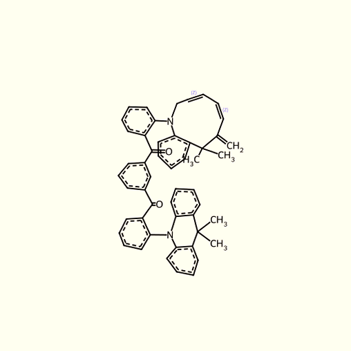 C=C1/C=C\C=C/CN(c2ccccc2C(=O)c2cccc(C(=O)c3ccccc3N3c4ccccc4C(C)(C)c4ccccc43)c2)c2ccccc2C1(C)C